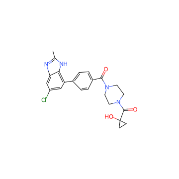 Cc1nc2cc(Cl)cc(-c3ccc(C(=O)N4CCN(C(=O)C5(O)CC5)CC4)cc3)c2[nH]1